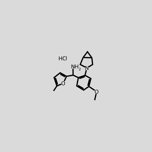 COc1ccc(C(N)c2ccc(C)o2)c(N2CC3CC3C2)c1.Cl